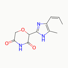 C/C=C\c1nc(C2OCC(=O)NC2=O)[nH]c1C